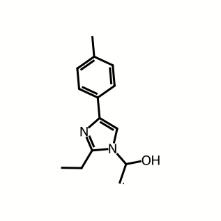 [CH2]C(O)n1cc(-c2ccc(C)cc2)nc1CC